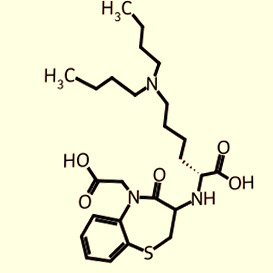 CCCCN(CCCC)CCCC[C@@H](NC1CSc2ccccc2N(CC(=O)O)C1=O)C(=O)O